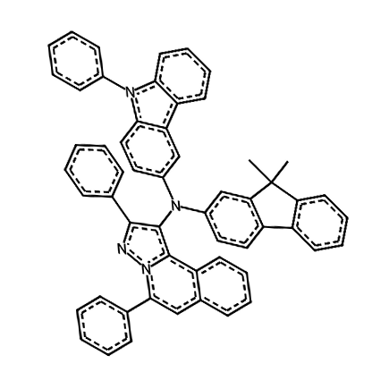 CC1(C)c2ccccc2-c2ccc(N(c3ccc4c(c3)c3ccccc3n4-c3ccccc3)c3c(-c4ccccc4)nn4c(-c5ccccc5)cc5ccccc5c34)cc21